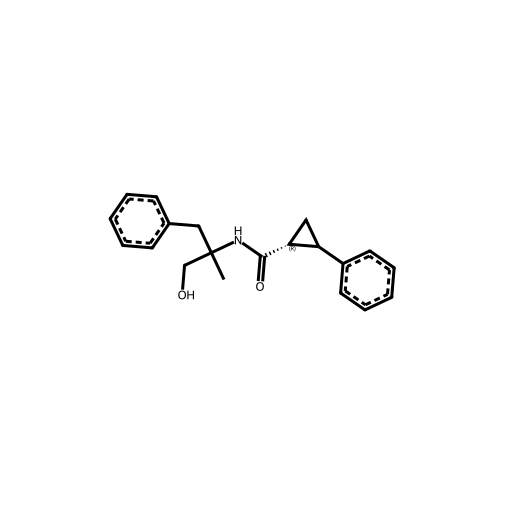 CC(CO)(Cc1ccccc1)NC(=O)[C@@H]1CC1c1ccccc1